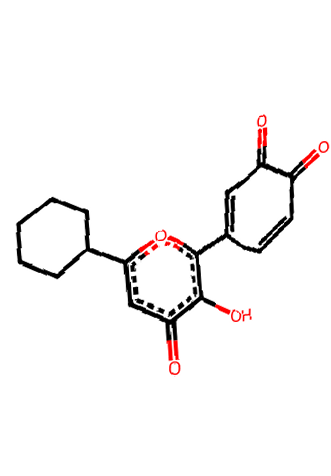 O=C1C=CC(c2oc(C3CCCCC3)cc(=O)c2O)=CC1=O